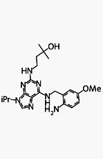 COc1ccc(N)c(CNc2nc(NCCC(C)(C)O)nc3c2ncn3C(C)C)c1